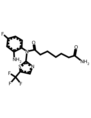 NC(=O)CCCCCC(=O)N(c1ncc(C(F)(F)F)s1)c1ccc(F)cc1N